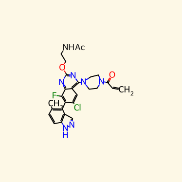 C=CC(=O)N1CCN(c2nc(OCCNC(C)=O)nc3c(F)c(-c4c(C)ccc5[nH]ncc45)c(Cl)cc23)CC1